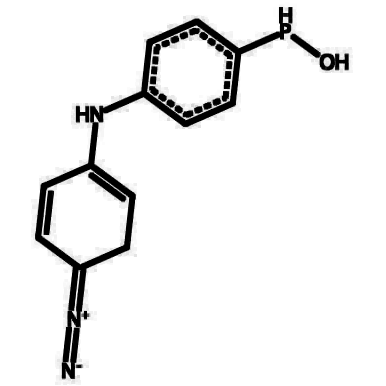 [N-]=[N+]=C1C=CC(Nc2ccc(PO)cc2)=CC1